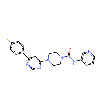 O=C(Nc1cccnc1)N1CCN(c2cc(-c3ccc(F)cc3)ncn2)CC1